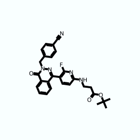 CC(C)(C)OC(=O)CCNc1ccc(-c2nn(Cc3ccc(C#N)cc3)c(=O)c3ccccc23)c(F)n1